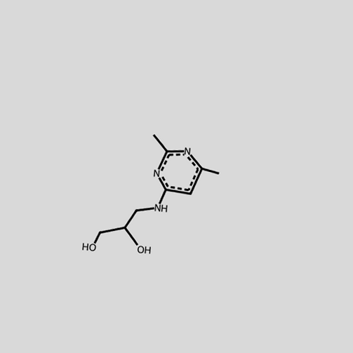 Cc1cc(NCC(O)CO)nc(C)n1